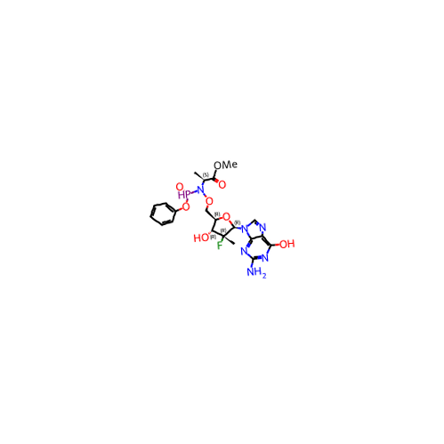 COC(=O)[C@H](C)N(OC[C@H]1O[C@@H](n2cnc3c(O)nc(N)nc32)[C@](C)(F)[C@@H]1O)[PH](=O)Oc1ccccc1